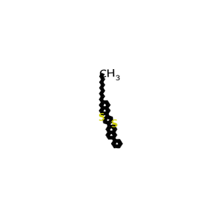 CCCCCCCCCCc1ccc2cc3c(cc2c1)sc1cc2c(cc13)sc1cc3cc(-c4ccccc4)ccc3cc12